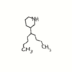 CCCCC(CCCC)C1CCCNC1